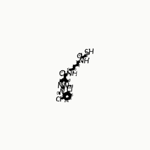 CN(c1ncc(C(=O)NCCCCCNC(=O)CS)cn1)c1c(Cl)cccc1Cl